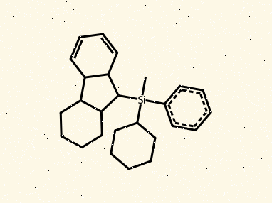 C[Si](c1ccccc1)(C1CCCCC1)C1C2C=CC=CC2C2CCCCC21